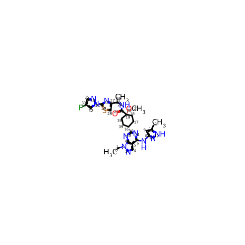 CCn1ncc2c(Nc3cc(C)[nH]n3)nc([C@H]3CC[C@](OC)(C(=O)N[C@@H](C)c4csc(-n5cc(F)cn5)n4)CC3)nc21